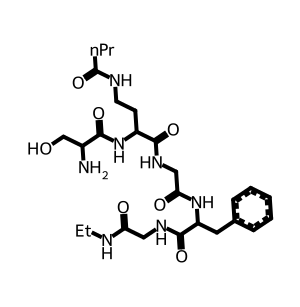 CCCC(=O)NCCC(NC(=O)C(N)CO)C(=O)NCC(=O)NC(Cc1ccccc1)C(=O)NCC(=O)NCC